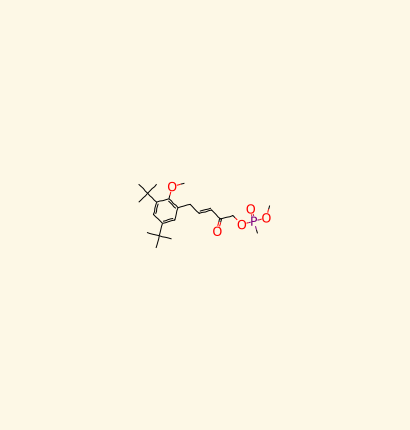 COc1c(CC=CC(=O)COP(C)(=O)OC)cc(C(C)(C)C)cc1C(C)(C)C